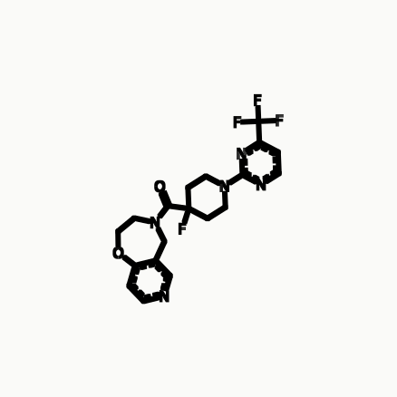 O=C(N1CCOc2ccncc2C1)C1(F)CCN(c2nccc(C(F)(F)F)n2)CC1